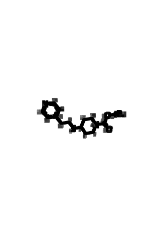 CC(C)(C)OC(=O)N1CCC(SCCc2ccncc2)CC1